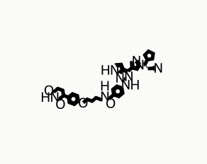 N#CC[C@@H](C1CCCC1)n1cc(-c2nc(Nc3ccc(C(=O)NCCCCOc4ccc(C5CCC(=O)NC5=O)cc4)cc3)nc3[nH]ccc23)cn1